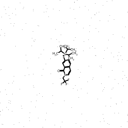 CC(C)[Si](Sc1ccc2ccn(CC(F)(F)F)c(=O)c2c1)(C(C)C)C(C)C